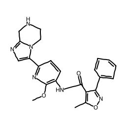 COc1nc(-c2cnc3n2CCNC3)ccc1NC(=O)c1c(-c2ccccc2)noc1C